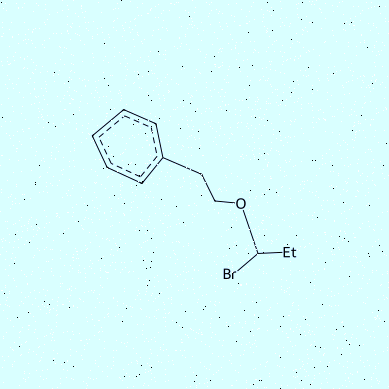 CCC(Br)OCCc1ccccc1